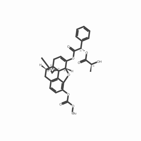 C[C@H](O)C(=O)O[C@H](C(=O)OC1=CC[C@@]2(O)[C@H]3Cc4ccc(OC(=O)OC(C)(C)C)c5c4[C@@]2(CCN3C)[C@H]1O5)c1ccccc1